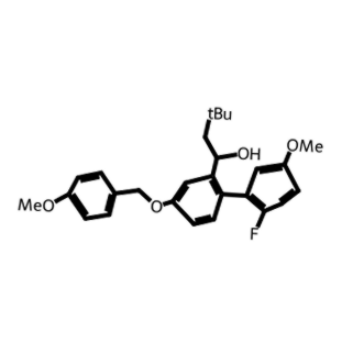 COc1ccc(COc2ccc(-c3cc(OC)ccc3F)c(C(O)CC(C)(C)C)c2)cc1